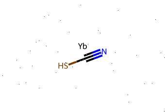 N#CS.[Yb]